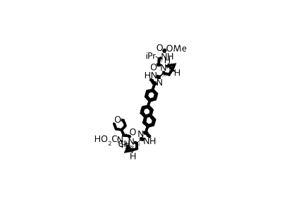 COC(=O)N[C@H](C(=O)N1[C@@H]2C[C@@H]2C[C@H]1c1nc(-c2ccc(-c3ccc4cc(-c5c[nH]c([C@@H]6C[C@H]7C[C@H]7N6C(=O)[C@H](C6CCOCC6)N(C)C(=O)O)n5)ccc4c3)cc2)c[nH]1)C(C)C